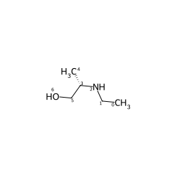 CCN[C@@H](C)CO